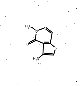 Cn1ccc2scc(N)c2c1=O